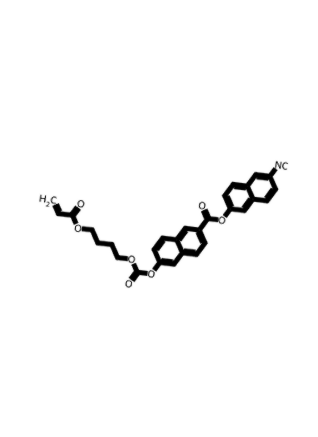 [C-]#[N+]c1ccc2cc(OC(=O)c3ccc4cc(OC(=O)OCCCCOC(=O)C=C)ccc4c3)ccc2c1